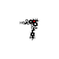 CN(C(=O)/C=C/c1ccc(C(F)(F)F)cc1)C1CC[C@H]2[C@H]3Cc4ccc(OC(=O)CO)c5c4[C@@]2(CCN3C)C1O5